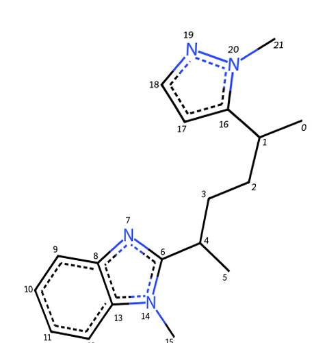 CC(CCC(C)c1nc2ccccc2n1C)c1ccnn1C